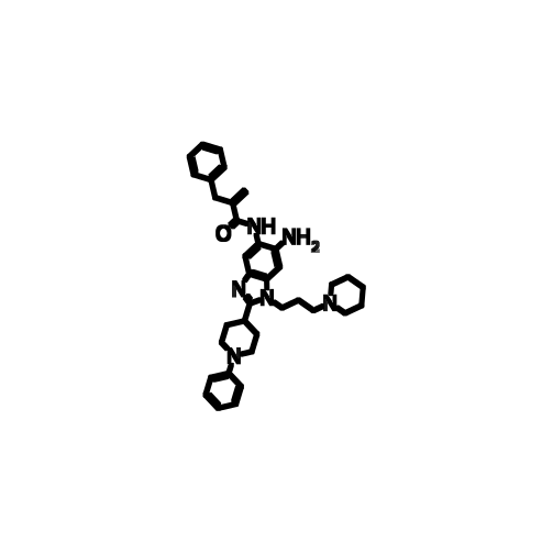 C=C(Cc1ccccc1)C(=O)Nc1cc2nc(C3CCN(c4ccccc4)CC3)n(CCCN3CCCCC3)c2cc1N